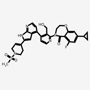 CS(=O)(=O)N1CC=C(c2cc3c(-c4ccnc(N5CCOc6cc(C7CC7)cc(F)c6C5=O)c4CO)ccnc3[nH]2)CC1